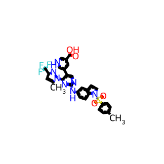 CC1=CC(C(F)(F)F)NN1c1nc(Nc2ccc3c(ccn3S(=O)(=O)c3ccc(C)cc3)c2)ncc1-c1cncc(C(=O)O)c1